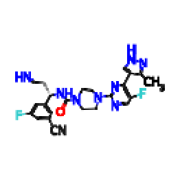 Cc1n[nH]cc1-c1nc(N2CCN(C(=O)N[C@@H](CC=N)c3cc(F)cc(C#N)c3)CC2)ncc1F